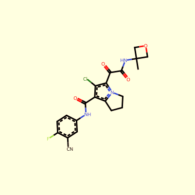 CC1(NC(=O)C(=O)c2c(Cl)c(C(=O)Nc3ccc(F)c(C#N)c3)c3n2CCC3)COC1